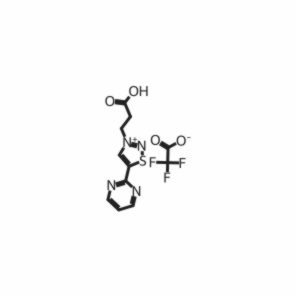 O=C(O)CC[n+]1cc(-c2ncccn2)sn1.O=C([O-])C(F)(F)F